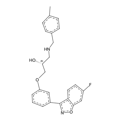 Cc1ccc(CNC[C@@H](O)COc2cccc(-c3noc4cc(F)ccc34)c2)cc1